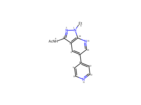 CCn1nc(NC(C)=O)c2cc(-c3ccncc3)cnc21